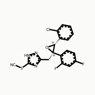 N#CSc1nc(C[C@]2(c3ccc(F)cc3F)O[C@@H]2c2ccccc2Cl)n[nH]1